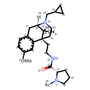 COc1ccc2c(c1)[C@@]1(CCNC(=O)[C@@H]3CCCN3C(C)=O)CCN(CC3CC3)[C@H](C2)[C@@H]1C